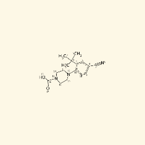 CC(C)(C)c1cc(C#N)ccc1N1CCN(C(=O)O)CC1